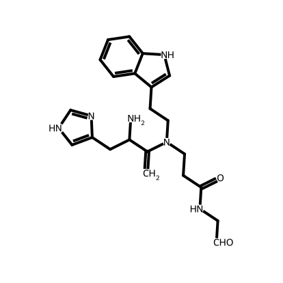 C=C(C(N)Cc1c[nH]cn1)N(CCC(=O)NCC=O)CCc1c[nH]c2ccccc12